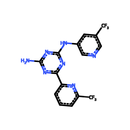 Nc1nc(Nc2cncc(C(F)(F)F)c2)nc(-c2cccc(C(F)(F)F)n2)n1